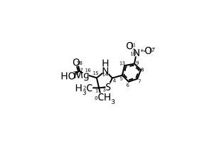 CC1(C)SC(c2cccc([N+](=O)[O-])c2)N[CH]1[Mg][C](=O)O